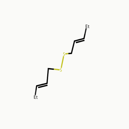 CCC=CCSSCC=CCC